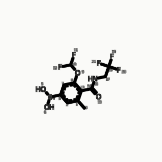 Cc1cc(B(O)O)cc(OC(F)F)c1C(=O)NCC(F)(F)F